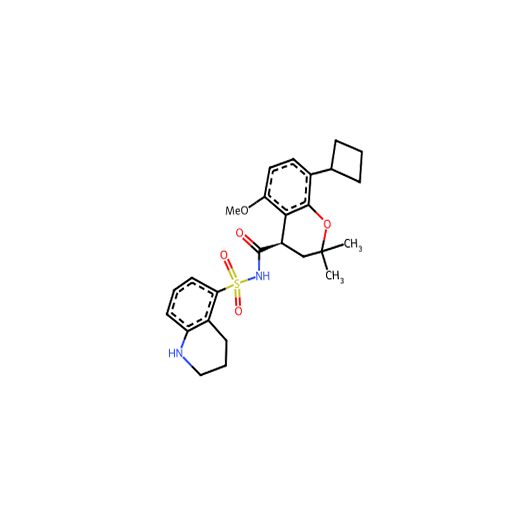 COc1ccc(C2CCC2)c2c1[C@H](C(=O)NS(=O)(=O)c1cccc3c1CCCN3)CC(C)(C)O2